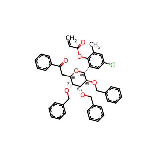 C=CC(=O)Oc1c(C)cc(Cl)cc1[C@H]1O[C@H](CC(=O)c2ccccc2)[C@@H](OCc2ccccc2)[C@@H](OCc2ccccc2)[C@@H]1OCc1ccccc1